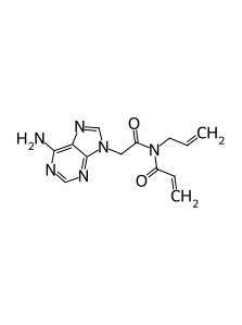 C=CCN(C(=O)C=C)C(=O)Cn1cnc2c(N)ncnc21